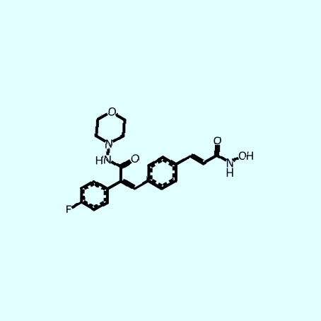 O=C(/C=C/c1ccc(C=C(C(=O)NN2CCOCC2)c2ccc(F)cc2)cc1)NO